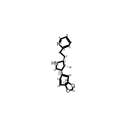 C[C@H]1[C@H](CCc2ccccn2)NC[C@@H]1c1ccc2c(c1)OCO2